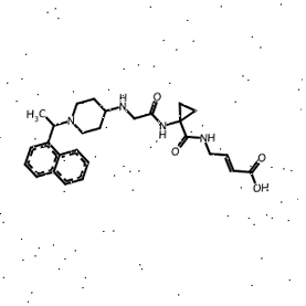 CC(c1cccc2ccccc12)N1CCC(NCC(=O)NC2(C(=O)NC/C=C/C(=O)O)CC2)CC1